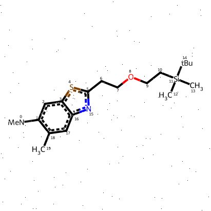 CNc1cc2sc(CCOCC[Si](C)(C)C(C)(C)C)nc2cc1C